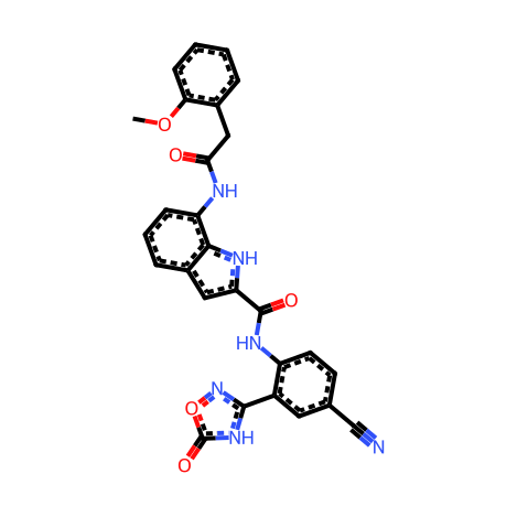 COc1ccccc1CC(=O)Nc1cccc2cc(C(=O)Nc3ccc(C#N)cc3-c3noc(=O)[nH]3)[nH]c12